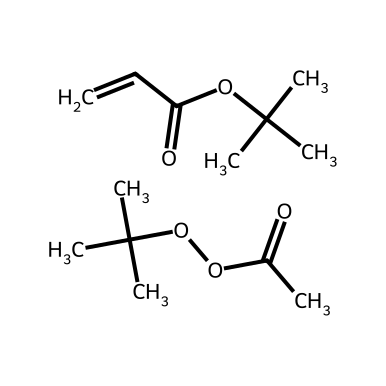 C=CC(=O)OC(C)(C)C.CC(=O)OOC(C)(C)C